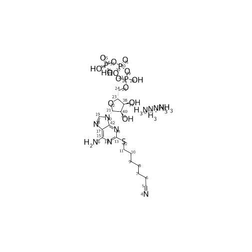 N.N.N.N.N#CCCCCCCSc1nc(N)c2ncn([C@@H]3O[C@H](COP(=O)(O)OP(=O)(O)OP(=O)(O)O)[C@@H](O)[C@H]3O)c2n1